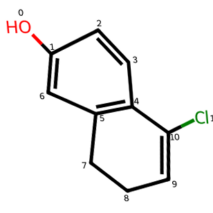 Oc1ccc2c(c1)CCC=C2Cl